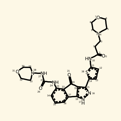 O=C(CCN1CCOCC1)Nc1ccc(-c2n[nH]c3c2C(=O)c2c(NC(=O)NN4CCOCC4)cccc2-3)s1